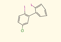 Clc1ccc(I)c(-c2ccccc2I)c1